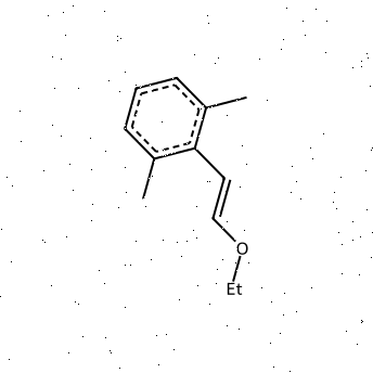 CCOC=Cc1c(C)cccc1C